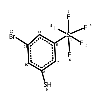 FS(F)(F)(F)(F)c1cc(S)cc(Br)c1